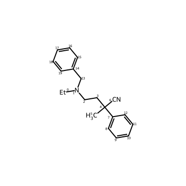 CCN(CCC(C)(C#N)c1ccccc1)Cc1ccccc1